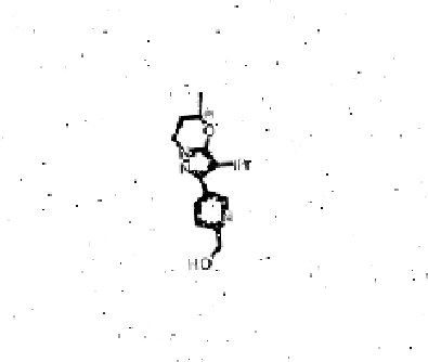 CC(C)c1c(-c2ccc(CO)nc2)nn2c1O[C@H](C)CC2